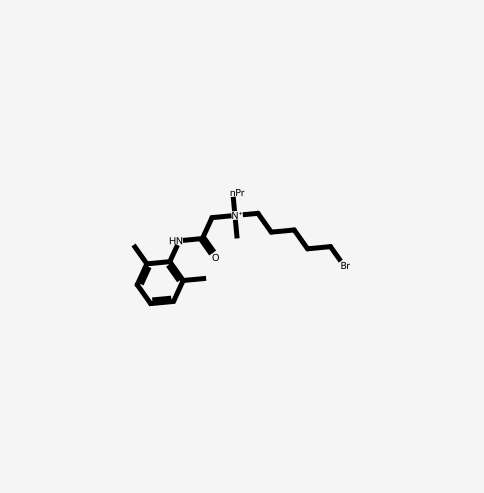 CCC[N+](C)(CCCCCBr)CC(=O)Nc1c(C)cccc1C